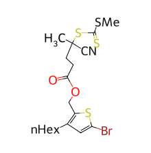 CCCCCCc1cc(Br)sc1COC(=O)CCC(C)(C#N)SC(=S)SC